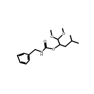 COC(OC)C(CC(C)C)OC(=O)NCc1ccccc1